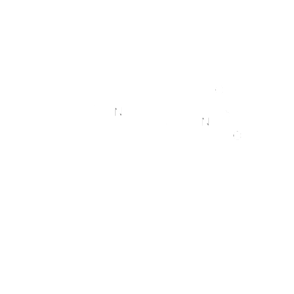 Cc1ccc2c(c1)C1(CCN(C(C)C3CCCC3)CC1)CN2S(C)(=O)=O